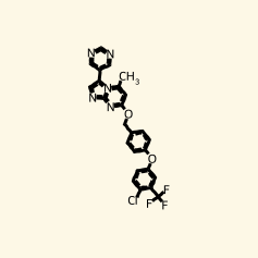 Cc1cc(OCc2ccc(Oc3ccc(Cl)c(C(F)(F)F)c3)cc2)nc2ncc(-c3cncnc3)n12